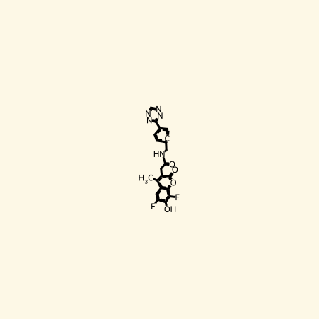 Cc1c(CC(=O)NCc2ccc(-c3nncnn3)cc2)c(=O)oc2c(F)c(O)c(F)cc12